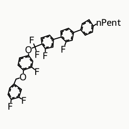 CCCCCc1ccc(-c2ccc(-c3ccc(C(F)(F)Oc4ccc(OCc5ccc(F)c(F)c5)c(F)c4)c(F)c3)c(F)c2)cc1